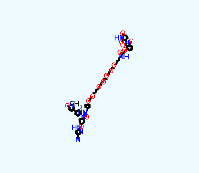 Cn1cc(-c2ccc(N(C(=O)NCc3ccc(OCCOCCCCOCCOCCOCCOCCOCCCCNC(=O)COc4cccc5c4C(=O)N(C4CCC(=O)NC4=O)C5=O)cc3)[C@H]3CC[C@H](ONc4ccc(C#N)cn4)CC3)cc2)ccc1=O